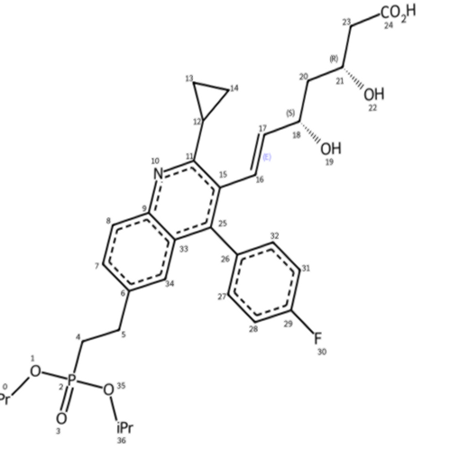 CC(C)OP(=O)(CCc1ccc2nc(C3CC3)c(/C=C/[C@@H](O)C[C@@H](O)CC(=O)O)c(-c3ccc(F)cc3)c2c1)OC(C)C